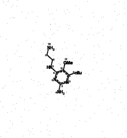 CCCCc1nc(N)nc(NCCN)c1OC